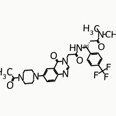 CC(=O)N1CCN(c2ccc3ncn(CC(=O)N[C@H](CC(=O)N(C)C)c4ccc(C(F)(F)F)cc4)c(=O)c3c2)CC1